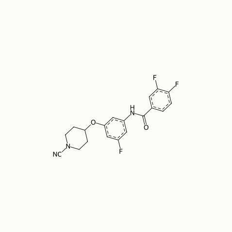 N#CN1CCC(Oc2cc(F)cc(NC(=O)c3ccc(F)c(F)c3)c2)CC1